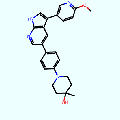 COc1ccc(-c2c[nH]c3ncc(-c4ccc(N5CCC(C)(O)CC5)cc4)cc23)cn1